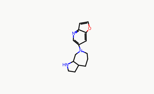 c1cc2ncc(N3CCCC4CCNC4C3)cc2o1